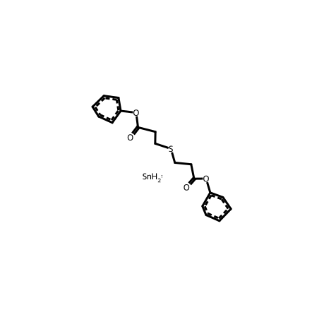 O=C(CCSCCC(=O)Oc1ccccc1)Oc1ccccc1.[SnH2]